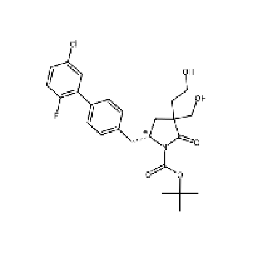 CC(C)(C)OC(=O)N1C(=O)C(CO)(CCO)C[C@H]1Cc1ccc(-c2cc(Cl)ccc2F)cc1